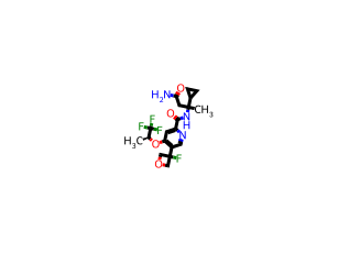 C[C@H](Oc1cc(C(=O)NC(C)(CC(N)=O)C2CC2)ncc1C1(F)COC1)C(F)(F)F